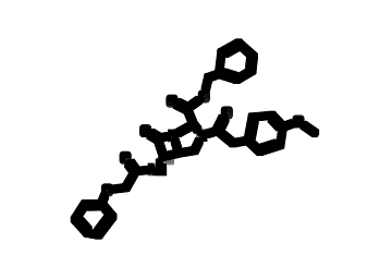 COc1ccc(CC(=O)N2CC3[C@H](NC(=O)COc4ccccc4)C(=O)N3C2C(=O)OCc2ccccc2)cc1